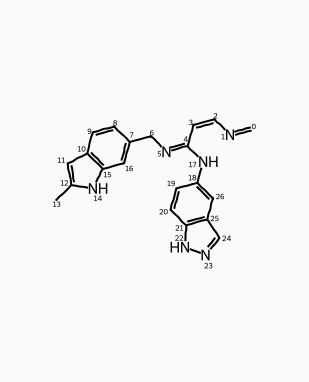 C=N/C=C\C(=N/Cc1ccc2cc(C)[nH]c2c1)Nc1ccc2[nH]ncc2c1